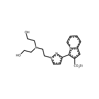 CCOC(=O)c1cc2ccccn2c1-c1ccn(CCN(CCO)CCO)n1